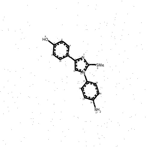 CSc1nc(-c2ccc(O)cc2)cn1-c1ccc(N)cc1